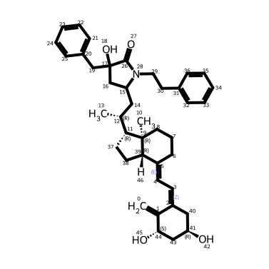 C=C1/C(=C\C=C2/CCC[C@]3(C)[C@@H]([C@H](C)CC4CC(O)(Cc5ccccc5)C(=O)N4CCc4ccccc4)CC[C@@H]23)C[C@@H](O)C[C@@H]1O